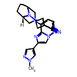 Cn1cc(-c2cn3nccc(N4CC5CC[C@@H](C4)N5C4CC(C#N)C4)c3n2)cn1